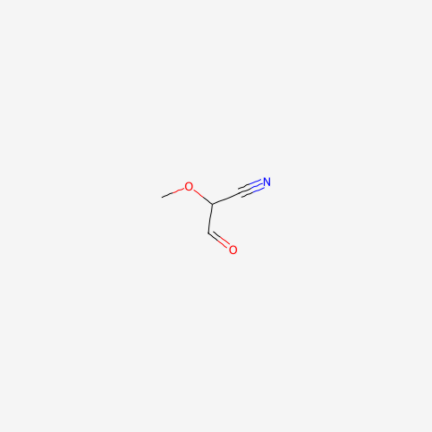 COC(C#N)C=O